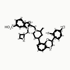 CC1CC(c2cccc3c2OC(c2ccc(Cl)cc2F)CO3)CCN1Cc1nc2ccc(C(=O)O)cc2n1C[C@@H]1CCO1